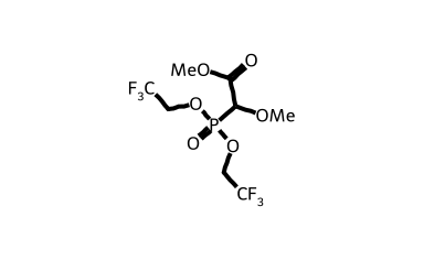 COC(=O)C(OC)P(=O)(OCC(F)(F)F)OCC(F)(F)F